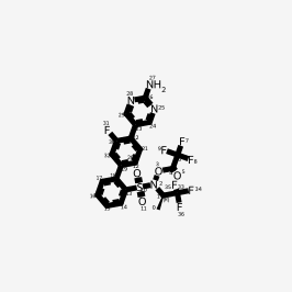 C[C@@H](N(OC(=O)C(F)(F)F)S(=O)(=O)c1ccccc1-c1ccc(-c2cnc(N)nc2)c(F)c1)C(F)(F)F